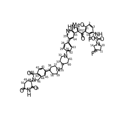 COc1ccc(NS(=O)(=O)N2CC[C@@H](F)C2)c(F)c1C(=O)c1c[nH]c2ncc(-c3ccc(N4CCC(CN5CCC(c6ccc7c(c6)CN(C6CCC(=O)NC6=O)C7=O)CC5)CC4)cc3)cc12